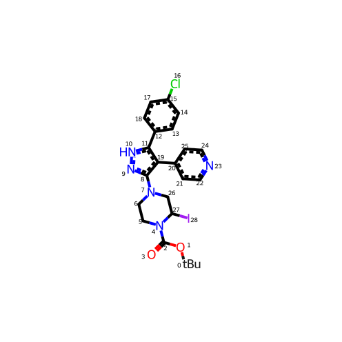 CC(C)(C)OC(=O)N1CCN(c2n[nH]c(-c3ccc(Cl)cc3)c2-c2ccncc2)CC1I